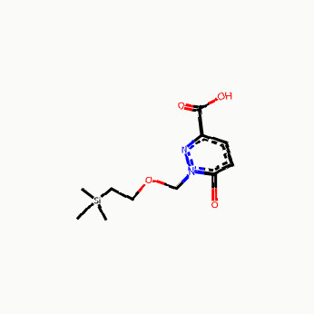 C[Si](C)(C)CCOCn1nc(C(=O)O)ccc1=O